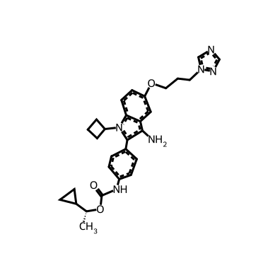 C[C@@H](OC(=O)Nc1ccc(-c2c(N)c3cc(OCCCn4cncn4)ccc3n2C2CCC2)cc1)C1CC1